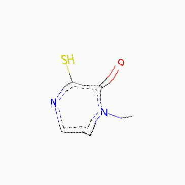 Cn1ccnc(S)c1=O